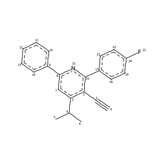 C#Cc1c(C(C)C)cc(-c2ccccc2)nc1-c1ccc(F)cc1